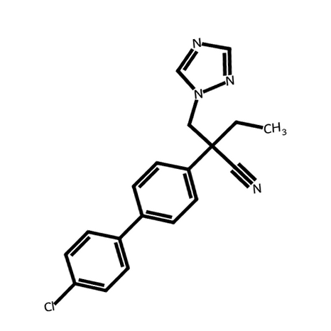 CCC(C#N)(Cn1cncn1)c1ccc(-c2ccc(Cl)cc2)cc1